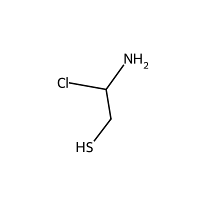 NC(Cl)CS